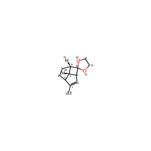 CCC1=CC2[C@@H]3C1CC[C@@H]3C21OCCO1